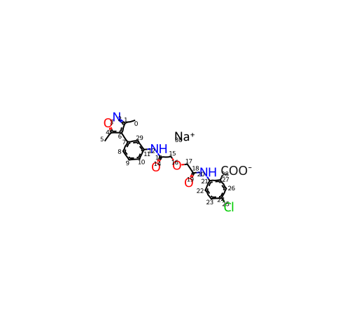 Cc1noc(C)c1-c1cccc(NC(=O)COCC(=O)Nc2ccc(Cl)cc2C(=O)[O-])c1.[Na+]